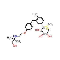 Cc1ccc([C@H]2[C@H](O)[C@H](O)[C@H](O)C[SH]2C)cc1Cc1ccc(OCCNC(C)(C)CO)cc1